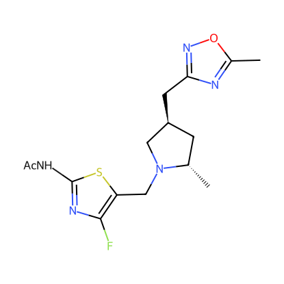 CC(=O)Nc1nc(F)c(CN2C[C@@H](Cc3noc(C)n3)C[C@@H]2C)s1